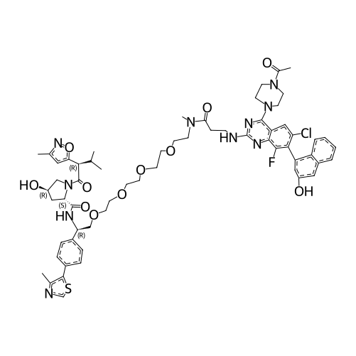 CC(=O)N1CCN(c2nc(NCCC(=O)N(C)CCOCCOCCOCCOC[C@H](NC(=O)[C@@H]3C[C@@H](O)CN3C(=O)[C@@H](c3cc(C)no3)C(C)C)c3ccc(-c4scnc4C)cc3)nc3c(F)c(-c4cc(O)cc5ccccc45)c(Cl)cc23)CC1